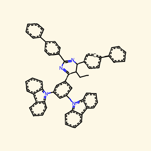 CCC1C(c2cc(-n3c4ccccc4c4ccccc43)cc(-n3c4ccccc4c4ccccc43)c2)=NC(c2ccc(-c3ccccc3)cc2)=NC1c1ccc(-c2ccccc2)cc1